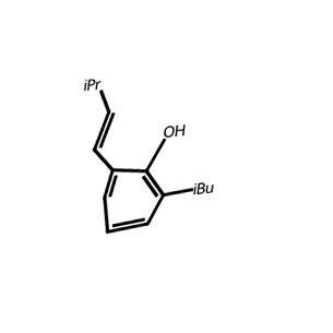 CCC(C)c1cccc(C=CC(C)C)c1O